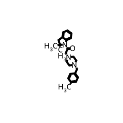 Cc1ccc(CN2CCN(CC(=O)N3c4ccccc4CC3(C)C)CC2)cc1